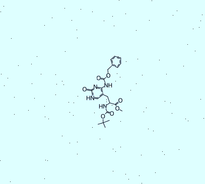 COC(=O)C(Cc1c[nH]c(=O)nc1NC(=O)OCc1ccccc1)NC(=O)OC(C)(C)C